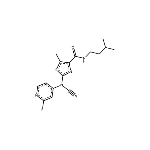 Cc1sc(N(C#N)c2ccnc(F)c2)nc1C(=O)NCCC(C)C